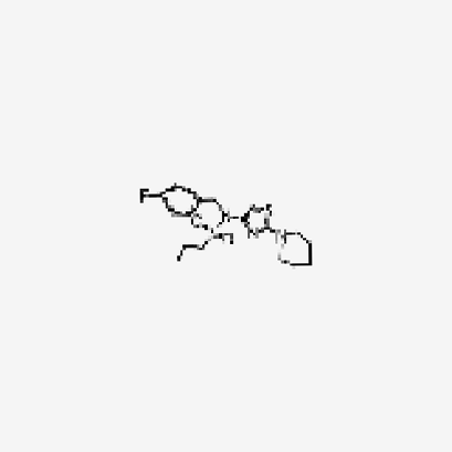 CCCS(=O)(=O)N(Cc1ccc(F)cc1)c1csc(N2CCCCC2)n1